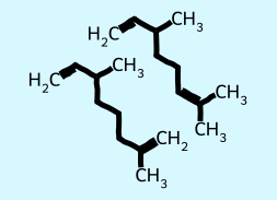 C=CC(C)CCC=C(C)C.C=CC(C)CCCC(=C)C